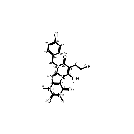 CC(C)CCc1c(O)n2c3c(=O)n(C)c(=O)n(C)c3nc2n(Cc2ccc(Cl)cc2)c1=O